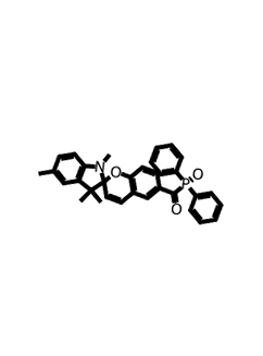 Cc1ccc2c(c1)C(C)(C)C1(C=Cc3cc(C(=O)P(=O)(c4ccccc4)c4ccccc4)ccc3O1)N2C